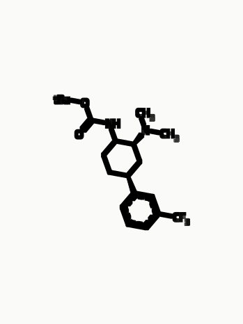 CN(C)[C@H]1C[C@@H](c2cccc(C(F)(F)F)c2)CCC1NC(=O)OC(C)(C)C